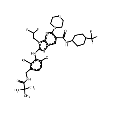 CC(C)(C)C(=O)NCc1ccc(Cl)c(Nc2nc3cc(C(=O)NC4CCC(C(F)(F)F)CC4)c(N4CCOCC4)nc3n2CC(F)F)c1Cl